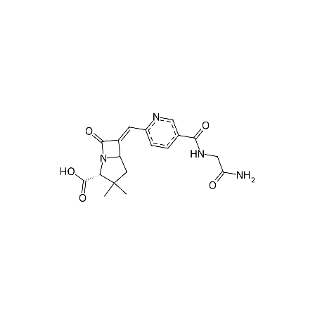 CC1(C)CC2/C(=C\c3ccc(C(=O)NCC(N)=O)cn3)C(=O)N2[C@H]1C(=O)O